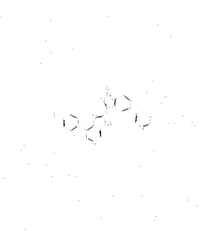 Fc1ccc(-c2cncc3[nH]c(-c4n[nH]c5ccc(C6=CN=CCC6)cc45)nc23)cc1